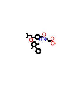 COC(=O)CCNC(=O)c1ccc(C(CC(C)C)Oc2cc(C)c(-c3ccccc3)c(C)c2)cc1